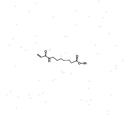 C=CC(=O)NCCCCCCC(=O)OC(C)C